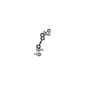 C(#Cc1ccc2nc([C@@H]3CCCN3)[nH]c2c1)c1ccc2c(ccc3nc([C@@H]4CCCN4)[nH]c32)c1